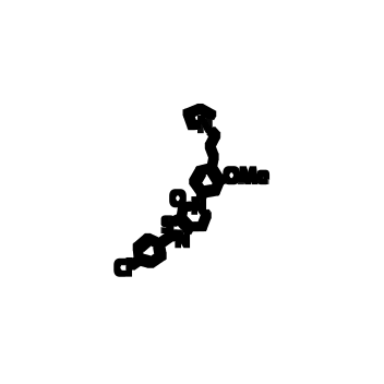 COc1cc(N2CCc3nc(-c4ccc(Cl)cc4)sc3C2=O)ccc1CCCN1CCCC1